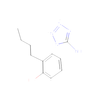 CCCCc1ccccc1O.Nc1nnn[nH]1